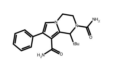 CC(C)(C)C1c2c(C(N)=O)c(-c3ccccc3)cn2CCN1C(N)=O